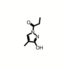 CCC(=O)n1cc(C)c(O)n1